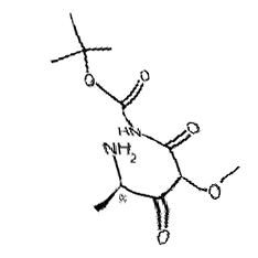 COC(C(=O)NC(=O)OC(C)(C)C)C(=O)[C@@H](C)N